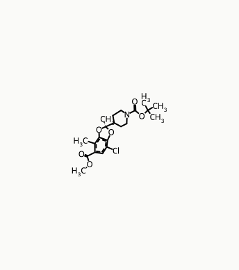 COC(=O)c1cc(Cl)c2c(c1C)O[C@@](C)(C1CCN(C(=O)OC(C)(C)C)CC1)O2